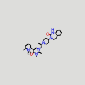 C=C(CN1C=C(c2cccc(C)[n+]2CC)C(=O)N(C)C1=C)N1CCC(N2CCc3ccccc3NC2=O)CC1